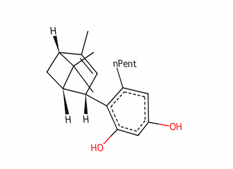 CCCCCc1cc(O)cc(O)c1[C@H]1C=C(C)[C@H]2C[C@@H]1C2(C)C